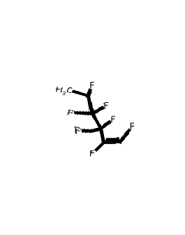 CC(F)C(F)(F)C(F)(F)/C(F)=[C]\F